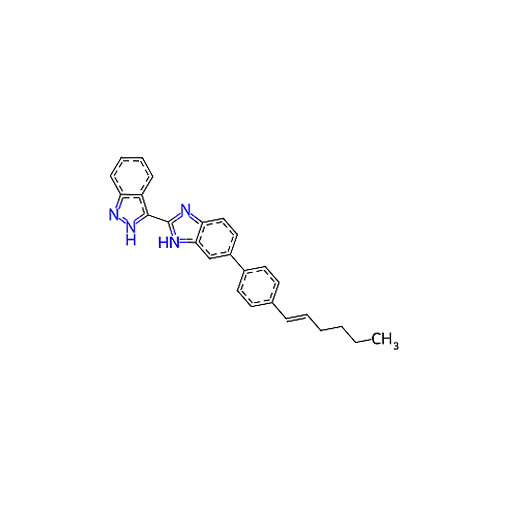 CCCC/C=C/c1ccc(-c2ccc3nc(-c4[nH]nc5ccccc45)[nH]c3c2)cc1